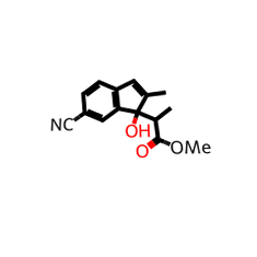 COC(=O)C(C)C1(O)C(C)=Cc2ccc(C#N)cc21